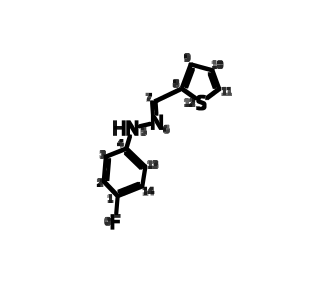 Fc1ccc(NN=Cc2cccs2)cc1